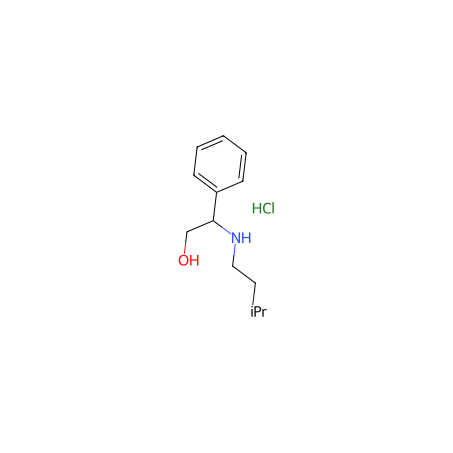 CC(C)CCNC(CO)c1ccccc1.Cl